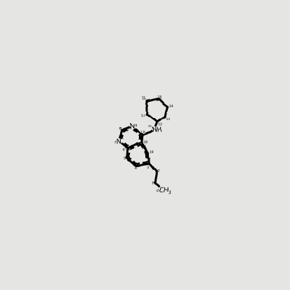 CCCc1ccc2ncnc(NC3CCCCC3)c2c1